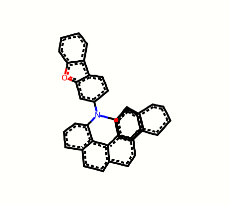 c1ccc(N(c2ccc3c(c2)oc2ccccc23)c2cccc3ccc4ccc5c6ccccc6ccc5c4c23)cc1